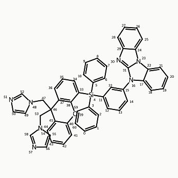 c1ccc([Si](c2ccccc2)(c2cccc(-n3c4ccccc4n4c5ccccc5nc34)c2)c2cccc3c2Oc2ccccc2C3(Cn2ccnc2)Cn2ccnc2)cc1